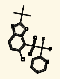 CC(C)(C)c1nc2ccc(Cl)c(S(=O)(=O)C(F)(F)c3ccccn3)c2o1